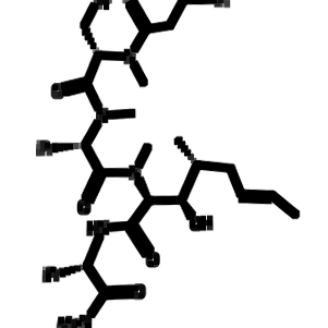 C/C=C/C[C@@H](C)[C@@H](O)[C@@H](C(=O)N[C@H](C(=O)NC)C(C)C)N(C)C(=O)[C@H](C(C)C)N(C)C(=O)[C@H](CC(C)C)N(C)C(=O)CCC(C)C